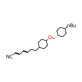 CCCC[C@H]1CC[C@H](COC2CCC(CCC=CC=CC#N)CC2)CC1